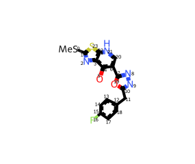 CSc1nc2c(=O)c(-c3nnc(Cc4ccc(F)cc4)o3)c[nH]c2s1